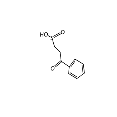 O=C(CCS(=O)O)c1ccccc1